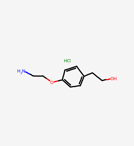 Cl.NCCOc1ccc(CCO)cc1